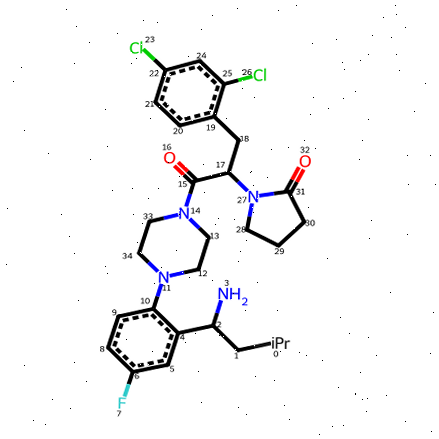 CC(C)CC(N)c1cc(F)ccc1N1CCN(C(=O)C(Cc2ccc(Cl)cc2Cl)N2CCCC2=O)CC1